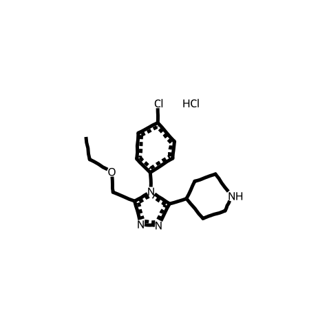 CCOCc1nnc(C2CCNCC2)n1-c1ccc(Cl)cc1.Cl